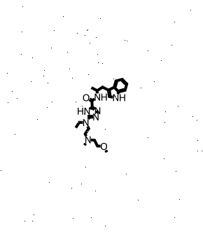 CCN(CCN(C)CCOC)c1nnc(C(=O)NC(C)Cc2c[nH]c3ccccc23)[nH]1